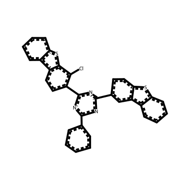 Clc1c(-c2nc(-c3ccccc3)nc(-c3ccc4sc5ccccc5c4c3)n2)ccc2c1sc1ccccc12